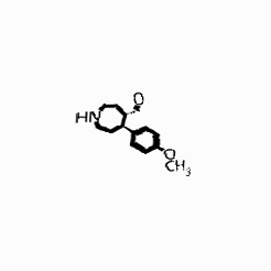 COc1ccc([C@H]2CCNCC[C@@H]2C=O)cc1